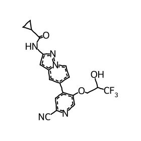 N#Cc1cc(-c2ccn3nc(NC(=O)C4CC4)cc3c2)c(OCC(O)C(F)(F)F)cn1